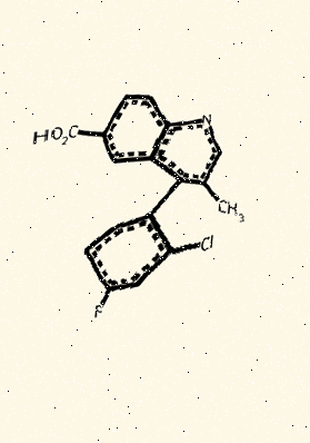 Cc1cnc2ccc(C(=O)O)cc2c1-c1ccc(F)cc1Cl